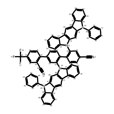 N#Cc1ccc(-c2ccc(-c3ccc(C(F)(F)F)cc3C#N)cc2-n2c3ccccc3c3cc4c5ccccc5n(-c5ccccc5)c4cc32)c(-n2c3ccccc3c3cc4c5ccccc5n(-c5ccccc5)c4cc32)c1